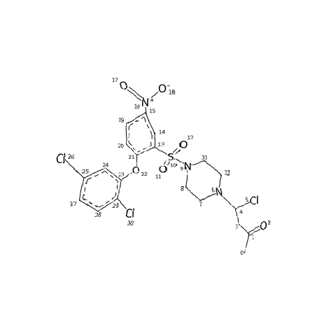 CC(=O)CC(Cl)N1CCN(S(=O)(=O)c2cc([N+](=O)[O-])ccc2Oc2cc(Cl)ccc2Cl)CC1